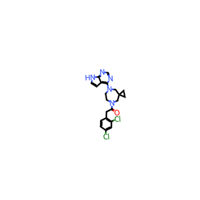 O=C(Cc1ccc(Cl)cc1Cl)N1CCN(c2ncnc3[nH]ccc23)CC2(CC2)C1